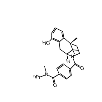 CCCN(C)C(=O)c1ccc(C(=O)N2CC[C@@]3(C)c4cccc(O)c4C[C@@H]2C3(C)C)cc1